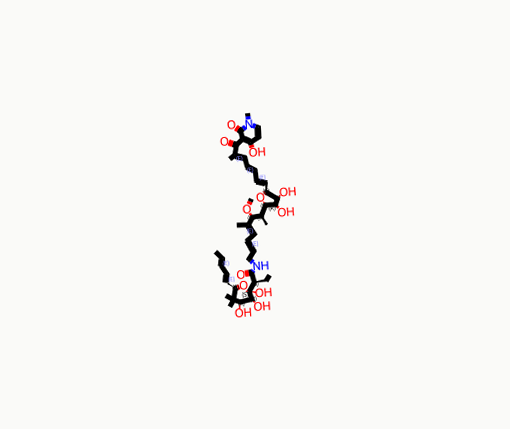 C/C=C/C=C/[C@@H]1O[C@@](O)([C@H](CC)C(=O)NC/C=C/C=C(\C)[C@@H](OC)[C@H](C)[C@@H]2O[C@@H](/C=C/C=C/C=C(\C)C(=O)c3c(O)ccn(C)c3=O)[C@H](O)[C@H]2O)[C@H](O)[C@H](O)C1(C)C